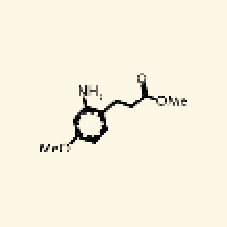 COC(=O)CCc1ccc(OC)cc1N